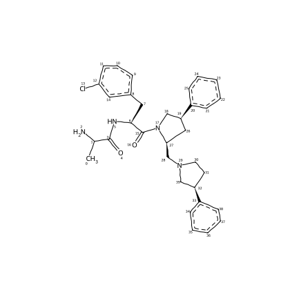 CC(N)C(=O)N[C@@H](Cc1cccc(Cl)c1)C(=O)N1C[C@@H](c2ccccc2)C[C@H]1CN1CC[C@@H](c2ccccc2)C1